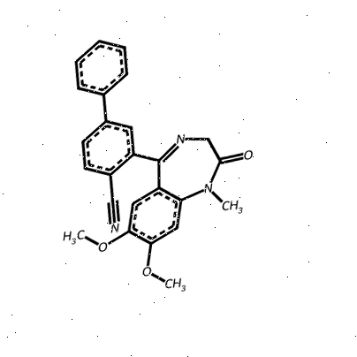 COc1cc2c(cc1OC)N(C)C(=O)CN=C2c1cc(-c2ccccc2)ccc1C#N